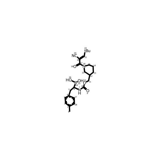 Cc1ccc(CC(NC(=O)OCC2CCCN(C(=O)C(C#N)=CC(C)(C)C)C2)B(O)O)cc1